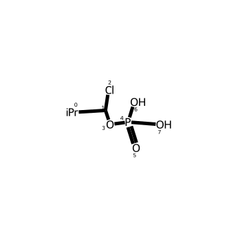 CC(C)C(Cl)OP(=O)(O)O